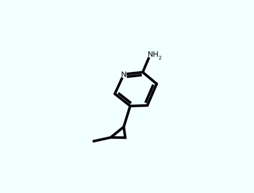 CC1CC1c1ccc(N)nc1